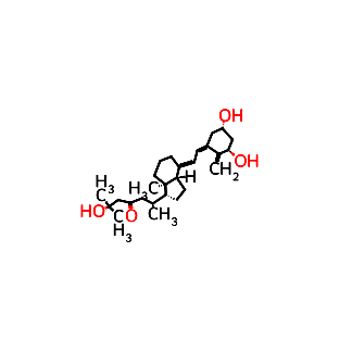 C=C1/C(=C\C=C2/CCC[C@]3(C)[C@@H]([C@H](C)CC(=O)CC(C)(C)O)CC[C@@H]23)C[C@H](O)C[C@H]1O